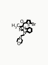 Cc1nc2n(CCN3CCOCC3)c3ccccc3n2c1C(=O)c1ccc(Br)s1